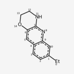 CCc1ccc2cc3c(nc2c1)NCCO3